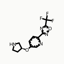 FC(F)(F)c1nc(-c2ccc(O[C@H]3CCNC3)cn2)no1